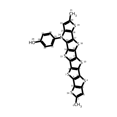 Cc1cc2sc3c(sc4c3sc3c4sc4c3sc3c5sc(C)cc5n(-c5ccc(O)cc5)c43)c2s1